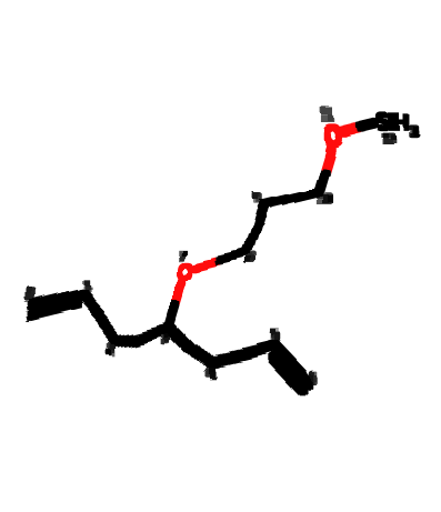 C=CCC(CC=C)OCCCO[SiH3]